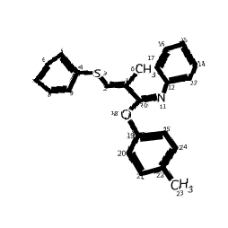 CC(=C\Sc1ccccc1)/C(=N\c1ccccc1)Oc1ccc(C)cc1